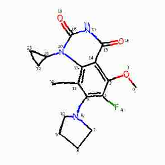 COc1c(F)c(N2CCCC2)c(C)c2c1c(=O)[nH]c(=O)n2C1CC1